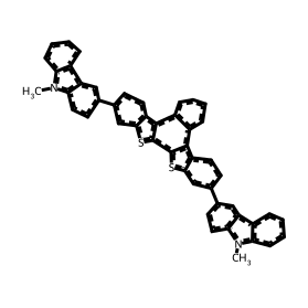 Cn1c2ccccc2c2cc(-c3ccc4c(c3)sc3c5sc6cc(-c7ccc8c(c7)c7ccccc7n8C)ccc6c5c5ccccc5c43)ccc21